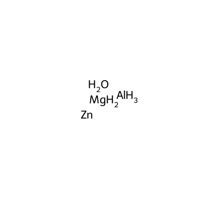 O.[AlH3].[MgH2].[Zn]